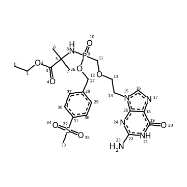 CCOC(=O)C(C)(C)NP(=O)(COCCn1cnc2c(=O)[nH]c(N)nc21)OCc1ccc(S(C)(=O)=O)cc1